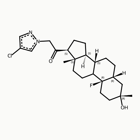 C[C@@]1(O)CC[C@]2(F)C3CC[C@]4(C)[C@@H](C(=O)Cn5cc(Cl)cn5)CC[C@H]4[C@@H]3CC[C@@H]2C1